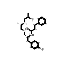 CC(O)CO[C@@H](C)COC[C@@H](Cc1ccc(O)cc1)NC(O)CCc1ccccc1